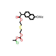 COc1ccc2cc(C(C)C(=O)OCCSCCOC(=O)OC(C)Cl)ccc2c1